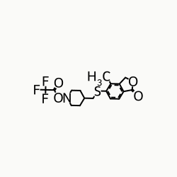 Cc1c(SCC2CCN(OC(=O)C(F)(F)F)CC2)ccc2c1COC2=O